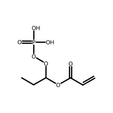 C=CC(=O)OC(CC)OOP(=O)(O)O